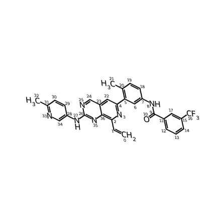 C=Cc1nc(-c2cc(NC(=O)c3cccc(C(F)(F)F)c3)ccc2C)cc2cnc(Nc3ccc(C)nc3)nc12